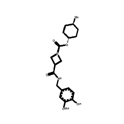 COc1cc(CNC(=O)C2CN(C(=O)O[C@H]3CC[C@H](C(C)(C)C)CC3)C2)ccc1O